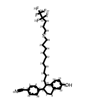 N#Cc1ccc(C2CCc3cc(O)ccc3C2CCCCCCCCCCSCCCC(F)(F)C(F)(F)F)cc1